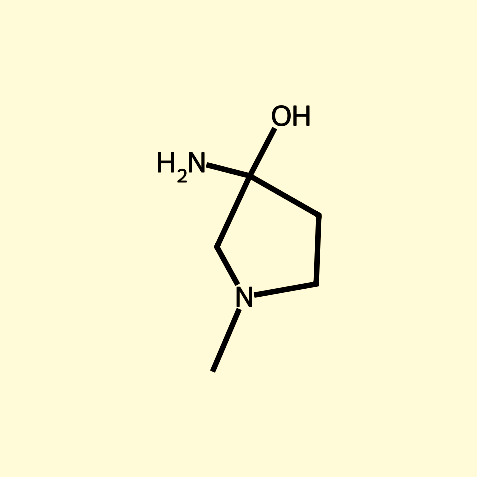 CN1CCC(N)(O)C1